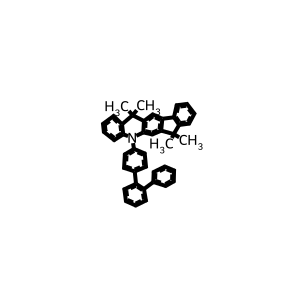 CC1(C)c2ccccc2-c2cc3c(cc21)N(c1ccc(-c2ccccc2-c2ccccc2)cc1)c1ccccc1C3(C)C